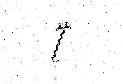 CCCCCCCCC=CCCCCCCCCN(C(N)=O)C(N)=O